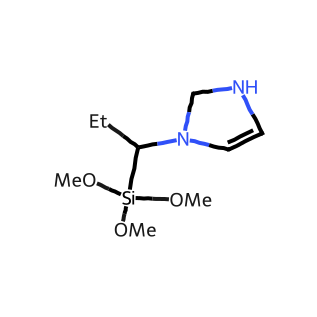 CCC(N1C=CNC1)[Si](OC)(OC)OC